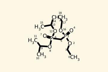 CCOP(=O)(CP(=O)(OC(C)C)OC(C)C)OCC